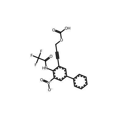 O=C(O)OCC#Cc1cc(-c2ccccc2)cc([N+](=O)[O-])c1NC(=O)C(F)(F)F